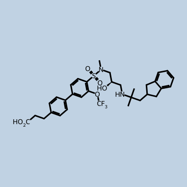 CN(C[C@H](O)CNC(C)(C)CC1Cc2ccccc2C1)S(=O)(=O)c1ccc(-c2ccc(CCC(=O)O)cc2)cc1OC(F)(F)F